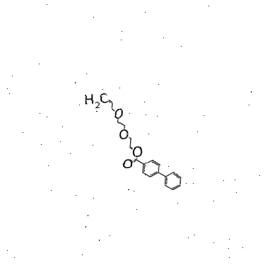 C=CCOCCOCCOC(=O)c1ccc(-c2ccccc2)cc1